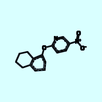 O=[N+]([O-])c1ccc(Oc2cccc3c2CCCC3)nc1